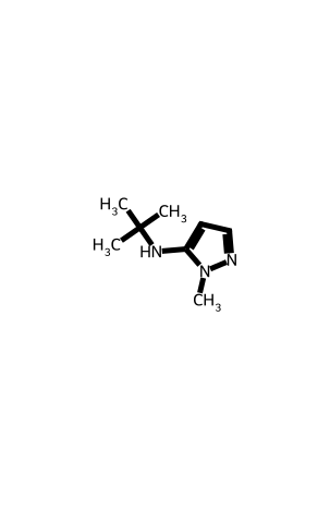 Cn1nccc1NC(C)(C)C